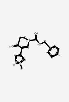 Cn1cc(C2=CN(C(=O)OCc3ccccc3)CCC2=O)cn1